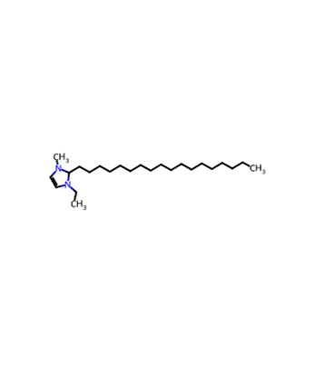 CCCCCCCCCCCCCCCCCCC1N(C)C=CN1CC